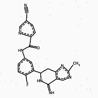 Cc1ncc2c(n1)CC(c1cc(NC(=O)c3ccc(C#N)cn3)ccc1F)NC2=N